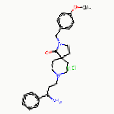 COc1ccc(CN2CCC3(CCN(CCC(N)c4ccccc4)CC3)C2=O)cc1.Cl